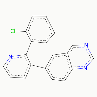 Clc1ccccc1-c1ncccc1-c1ccc2ncncc2c1